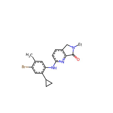 CCN1Cc2ccc(Nc3cc(C)c(Br)cc3C3CC3)nc2C1=O